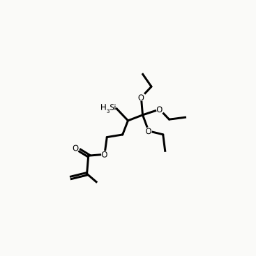 C=C(C)C(=O)OCCC([SiH3])C(OCC)(OCC)OCC